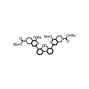 COc1nc(-c2cccc(-c3cccc(-c4cc5c(c(OC)n4)CCN(C(=O)OC(C)(C)C)C5)c3Cl)c2Cl)cc2c1CCN(C(=O)OC(C)(C)C)C2